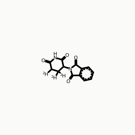 [2H]C1C(=O)NC(=O)C(N2C(=O)c3ccccc3C2=O)C1([2H])[2H]